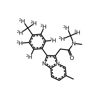 [2H]c1c([2H])c(C([2H])([2H])[2H])c([2H])c([2H])c1-c1nc2ccc(C)cn2c1CC(=O)N(C)C([2H])([2H])[2H]